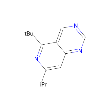 CC(C)c1cc2ncncc2c(C(C)(C)C)n1